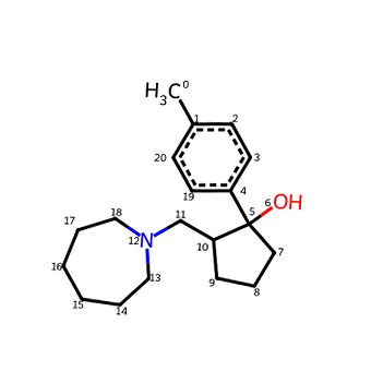 Cc1ccc(C2(O)CCCC2CN2CCCCCC2)cc1